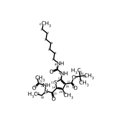 CCCCCCCCNC(=O)Nc1sc(C(=O)N(CC)NC(C)=O)c(C)c1C(=O)OC(C)(C)C